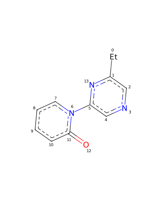 CCc1cncc(-n2ccccc2=O)n1